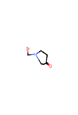 O=C1CCN(CBr)C1